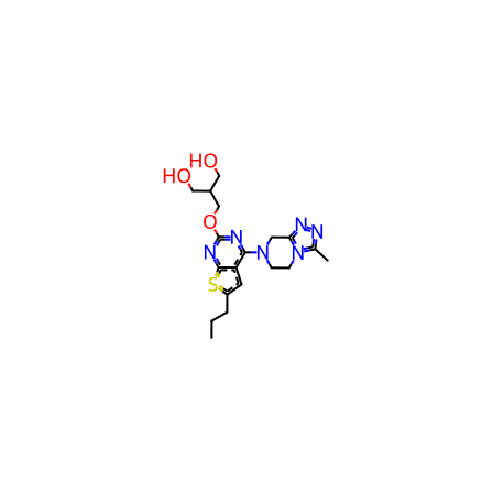 CCCc1cc2c(N3CCn4c(C)nnc4C3)nc(OCC(CO)CO)nc2s1